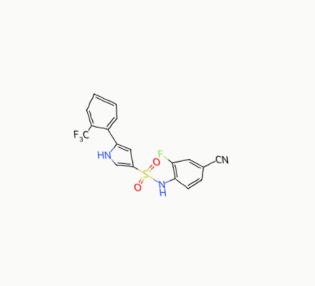 N#Cc1ccc(NS(=O)(=O)c2c[nH]c(-c3ccccc3C(F)(F)F)c2)c(F)c1